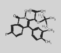 Cc1ccc(-c2c(C(OC(C)(C)C)C(=O)O)n(C)c(=O)c3cc(F)ccc23)cc1C